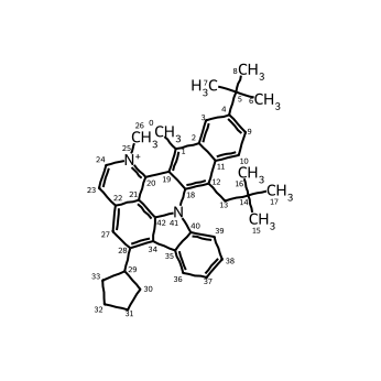 Cc1c2cc(C(C)(C)C)ccc2c(CC(C)(C)C)c2c1c1c3c(cc[n+]1C)cc(C1CCCC1)c1c4ccccc4n2c13